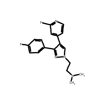 CN(C)CCn1cc(-c2ccnc(F)c2)c(-c2ccc(F)cc2)n1